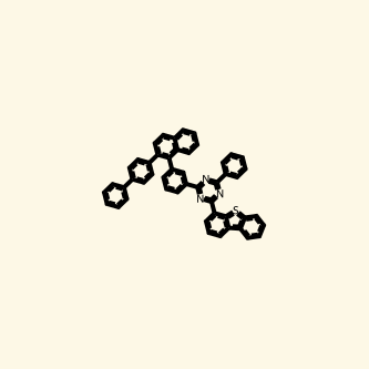 c1ccc(-c2ccc(-c3ccc4ccccc4c3-c3cccc(-c4nc(-c5ccccc5)nc(-c5cccc6c5sc5ccccc56)n4)c3)cc2)cc1